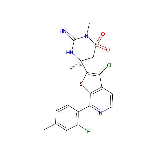 Cc1ccc(-c2nccc3c(Cl)c([C@]4(C)CS(=O)(=O)N(C)C(=N)N4)sc23)c(F)c1